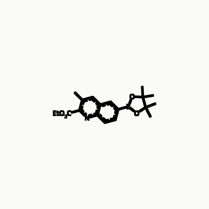 CCOC(=O)c1nc2ccc(B3OC(C)(C)C(C)(C)O3)cc2cc1C